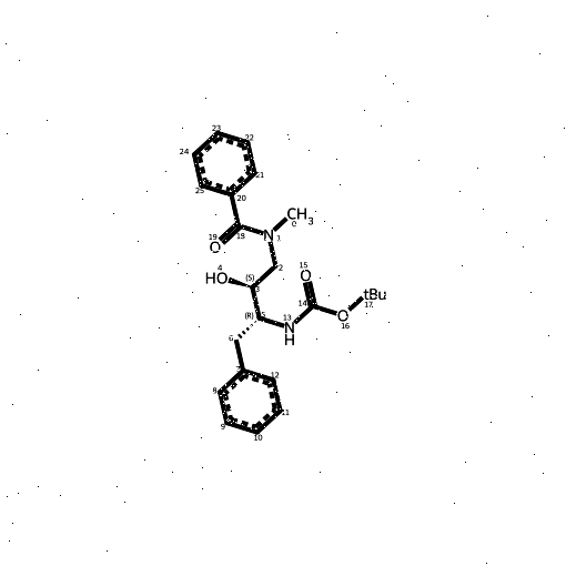 CN(C[C@H](O)[C@@H](Cc1ccccc1)NC(=O)OC(C)(C)C)C(=O)c1ccccc1